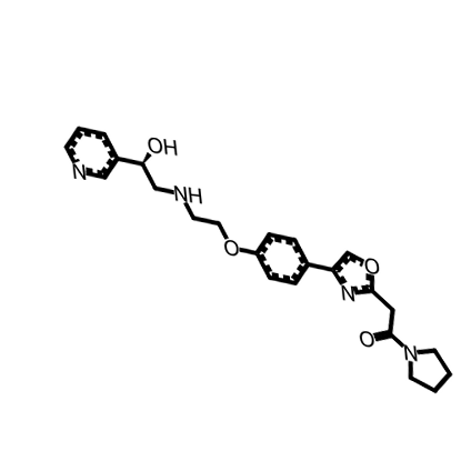 O=C(Cc1nc(-c2ccc(OCCNC[C@H](O)c3cccnc3)cc2)co1)N1CCCC1